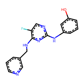 Oc1cccc(Nc2ncc(F)c(NCc3cccnc3)n2)c1